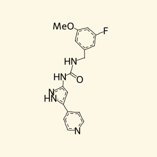 COc1cc(F)cc(CNC(=O)Nc2cc(-c3ccncc3)[nH]n2)c1